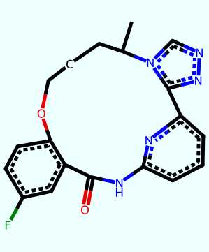 CC1CCCOc2ccc(F)cc2C(=O)Nc2cccc(n2)-c2nncn21